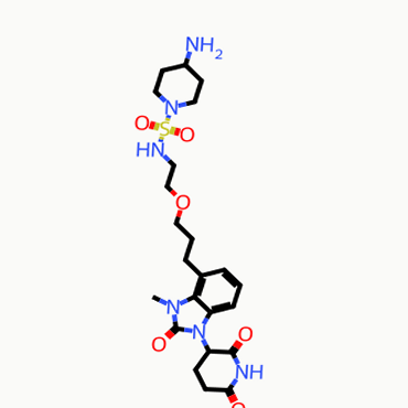 Cn1c(=O)n(C2CCC(=O)NC2=O)c2cccc(CCCOCCNS(=O)(=O)N3CCC(N)CC3)c21